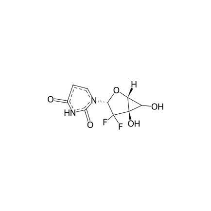 O=c1ccn([C@@H]2O[C@@H]3C(O)[C@]3(O)C2(F)F)c(=O)[nH]1